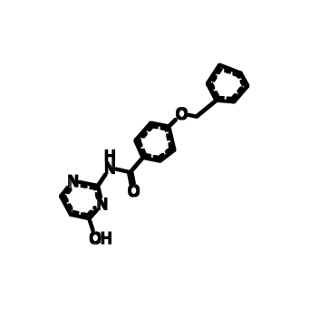 O=C(Nc1nccc(O)n1)c1ccc(OCc2ccccc2)cc1